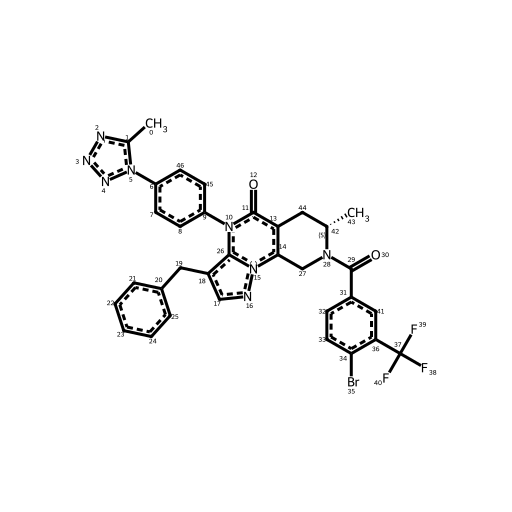 Cc1nnnn1-c1ccc(-n2c(=O)c3c(n4ncc(Cc5ccccc5)c24)CN(C(=O)c2ccc(Br)c(C(F)(F)F)c2)[C@@H](C)C3)cc1